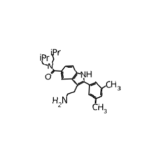 Cc1cc(C)cc(-c2[nH]c3ccc(C(=O)N(CC(C)C)CC(C)C)cc3c2CCN)c1